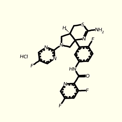 Cl.NC1=NC2(c3cc(NC(=O)c4ncc(F)cc4F)ccc3F)CN(c3ncc(F)cn3)C[C@H]2CS1